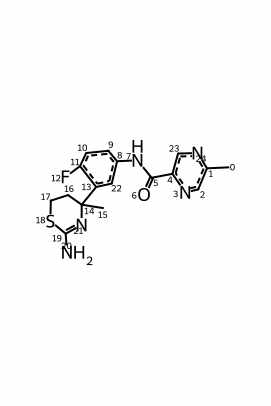 Cc1cnc(C(=O)Nc2ccc(F)c(C3(C)CCSC(N)=N3)c2)cn1